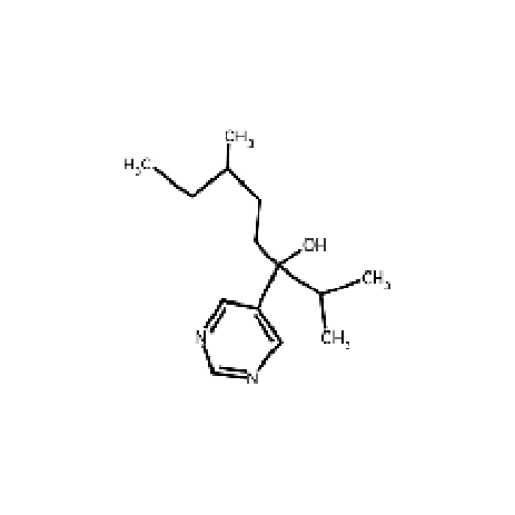 CCC(C)CCC(O)(c1cncnc1)C(C)C